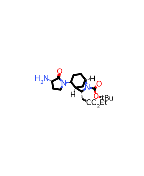 CCOC(=O)C[C@@H]1[C@@H]2C[C@@H](CC[C@@H]2N2CC[C@H](N)C2=O)N1C(=O)OC(C)(C)C